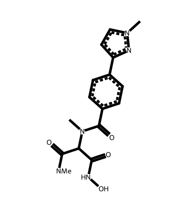 CNC(=O)C(C(=O)NO)N(C)C(=O)c1ccc(-c2ccn(C)n2)cc1